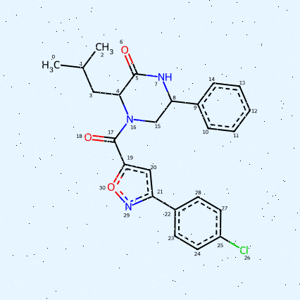 CC(C)CC1C(=O)NC(c2ccccc2)CN1C(=O)c1cc(-c2ccc(Cl)cc2)no1